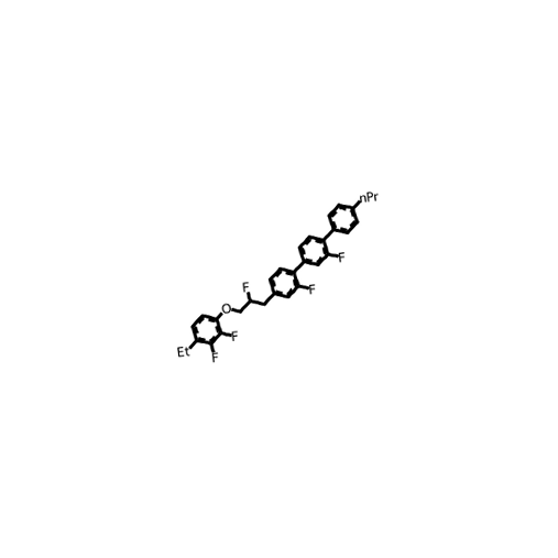 CCCc1ccc(-c2ccc(-c3ccc(CC(F)COc4ccc(CC)c(F)c4F)cc3F)cc2F)cc1